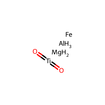 [AlH3].[Fe].[MgH2].[O]=[Ti]=[O]